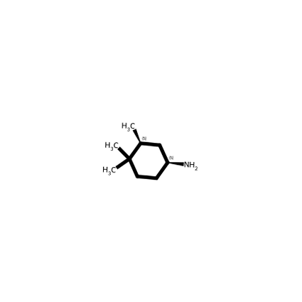 C[C@H]1C[C@@H](N)CCC1(C)C